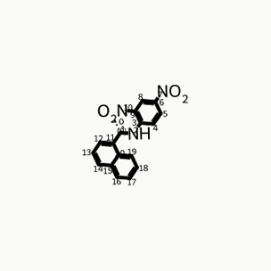 C[C@H](Nc1ccc([N+](=O)[O-])cc1[N+](=O)[O-])c1cccc2ccccc12